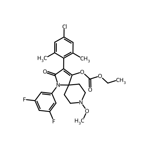 CCOC(=O)OC1=C(c2c(C)cc(Cl)cc2C)C(=O)N(c2cc(F)cc(F)c2)C12CCN(OC)CC2